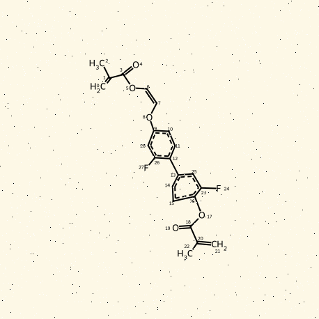 C=C(C)C(=O)O/C=C\Oc1ccc(-c2ccc(OC(=O)C(=C)C)c(F)c2)c(F)c1